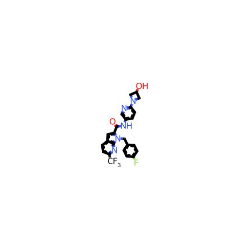 O=C(Nc1ccc(N2CC(O)C2)nc1)c1cc2ccc(C(F)(F)F)nc2n1Cc1ccc(F)cc1